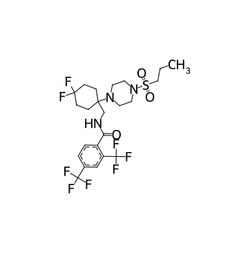 CCCS(=O)(=O)N1CCN(C2(CNC(=O)c3ccc(C(F)(F)F)cc3C(F)(F)F)CCC(F)(F)CC2)CC1